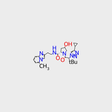 Cc1cccc2nc(CCNC(=O)[C@@H]3C[C@@H](O)CN3C(=O)[C@@H](n3cc(C4CC4)nn3)C(C)(C)C)cn12